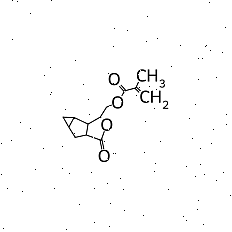 C=C(C)C(=O)OCC1OC(=O)C2CC3CC3C12